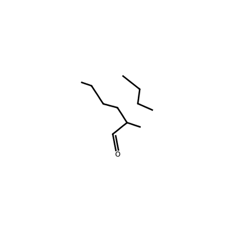 CCCC.CCCCC(C)C=O